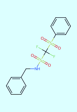 O=S(=O)(NCc1ccccc1)C(F)(F)S(=O)(=O)c1ccccc1